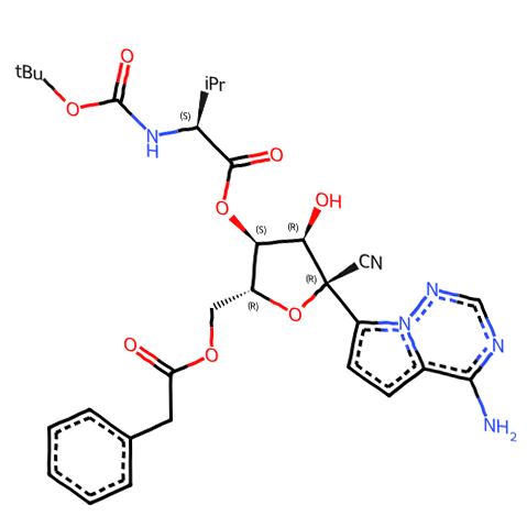 CC(C)[C@H](NC(=O)OC(C)(C)C)C(=O)O[C@H]1[C@@H](O)[C@](C#N)(c2ccc3c(N)ncnn23)O[C@@H]1COC(=O)Cc1ccccc1